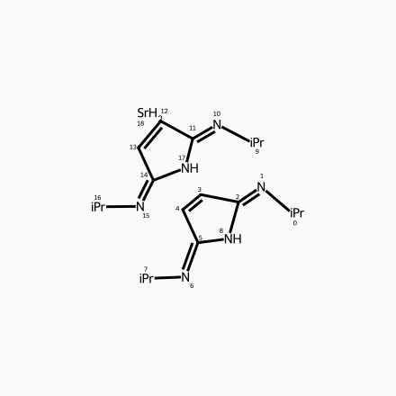 CC(C)N=C1C=CC(=NC(C)C)N1.CC(C)N=C1C=CC(=NC(C)C)N1.[SrH2]